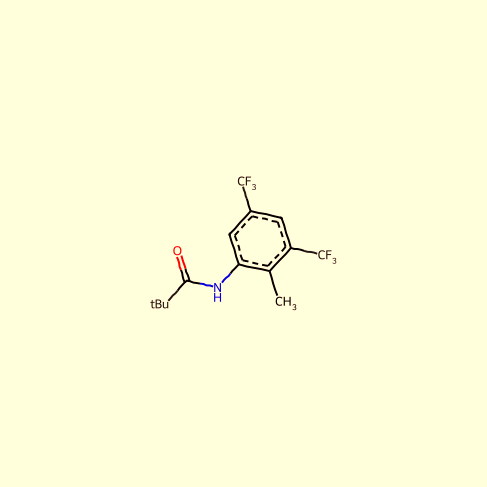 Cc1c(NC(=O)C(C)(C)C)cc(C(F)(F)F)cc1C(F)(F)F